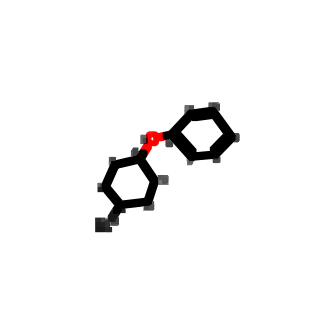 CCC1CCC(Oc2ccccc2)CC1